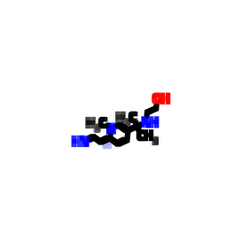 CN1C=C(C(C)(C)NCCO)C=C/C1=C/C=N